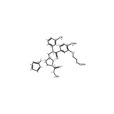 COCCCOc1cc(C(=O)N(C[C@H]2CN(C(=O)OC(C)(C)C)C[C@@H]2Cc2ccccc2)c2cccc(C#N)c2)ccc1OC